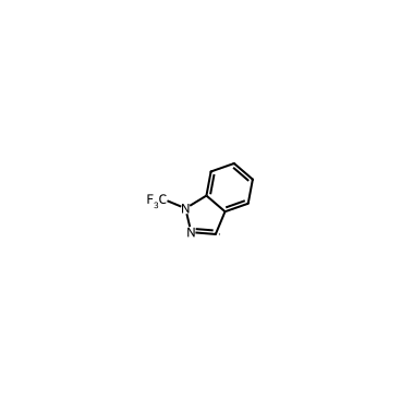 FC(F)(F)n1n[c]c2ccccc21